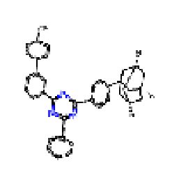 N#Cc1ccc(-c2cccc(-c3nc(-c4ccccc4)nc(-c4ccc(C56C[C@H]7C[C@H](C5)C[C@@H](C6)C7)cc4)n3)c2)cc1